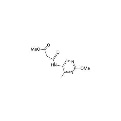 COC(=O)CC(=O)Nc1cnc(OC)nc1C